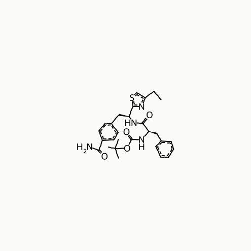 CCc1csc([C@H](Cc2ccc(C(N)=O)cc2)NC(=O)[C@@H](Cc2ccccc2)NC(=O)OC(C)(C)C)n1